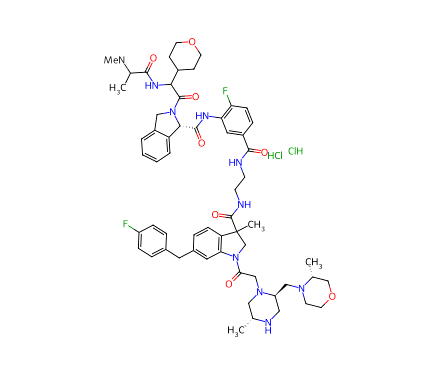 CNC(C)C(=O)NC(C(=O)N1Cc2ccccc2[C@H]1C(=O)Nc1cc(C(=O)NCCNC(=O)C2(C)CN(C(=O)CN3C[C@@H](C)NC[C@@H]3CN3CCOC[C@H]3C)c3cc(Cc4ccc(F)cc4)ccc32)ccc1F)C1CCOCC1.Cl.Cl